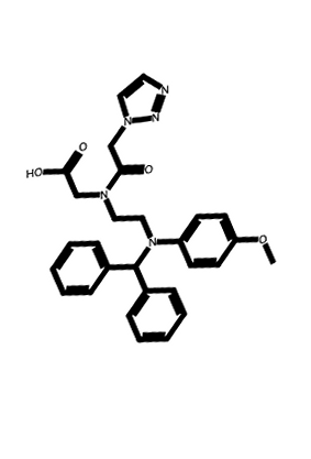 COc1ccc(N(CCN(CC(=O)O)C(=O)Cn2ccnn2)C(c2ccccc2)c2ccccc2)cc1